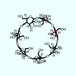 OC[C@H]1OC2O[C@H]3[C@H](O)[C@@H](O)C(O[C@H]4[C@H](O)[C@@H](O)C(OC5[C@@H](CO)OC(O[C@H]6[C@H](O)[C@@H](O)C(O[C@H]7[C@H](O)[C@@H](O)C(O[C@H]8[C@H](O)[C@@H](O)C(OC1[C@H](O)[C@H]2O)O[C@@H]8CO)O[C@@H]7CO)O[C@@H]6CO)[C@H](O)[C@H]5O)O[C@@H]4CO)O[C@@H]3CO